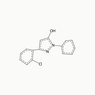 Oc1cc(-c2ccccc2Cl)nn1-c1ccccc1